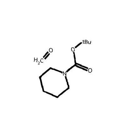 C=O.CC(C)(C)OC(=O)N1CCCCC1